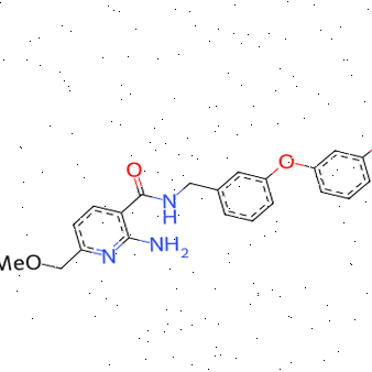 COCc1ccc(C(=O)NCc2cccc(Oc3cccc(Br)c3)c2)c(N)n1